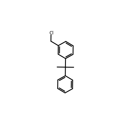 CC(C)(c1ccccc1)c1cccc(CCl)c1